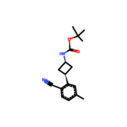 Cc1ccc(C#N)c([C@H]2C[C@@H](NC(=O)OC(C)(C)C)C2)c1